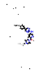 COc1ccc(-c2cnc(Nc3ccc(C(=O)N4CCN(C(=O)O)CC4)nc3)nc2)cc1